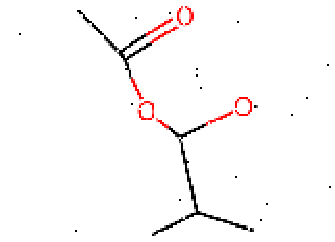 CC(=O)OC([O])C(C)C